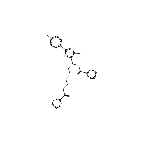 N#Cc1nc(-c2ccc(F)cc2)[nH]c1[C@H](CCCCCC(=O)c1ncco1)NC(=O)c1nccs1